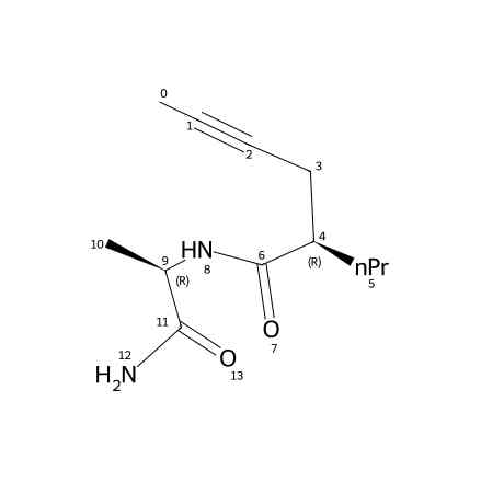 CC#CC[C@@H](CCC)C(=O)N[C@H](C)C(N)=O